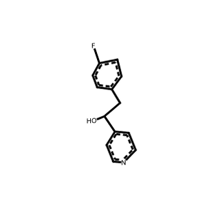 OC(Cc1ccc(F)cc1)c1ccncc1